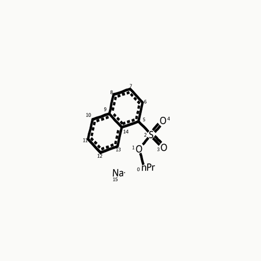 CCCOS(=O)(=O)c1cccc2ccccc12.[Na]